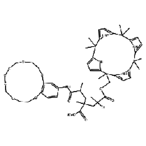 CCC(C)(CC(C)(CC(C)C(=O)Nc1ccc2c(c1)OCCOCCOCCOCCO2)C(=O)OC)C(=O)OCC1(C)c2ccc([nH]2)C(C)(C)c2ccc([nH]2)C(C)(C)c2ccc([nH]2)C(C)(C)c2ccc1[nH]2